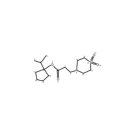 CC(C)C1(OC(=O)CCN2CCS(=O)(=O)CC2)CCCC1